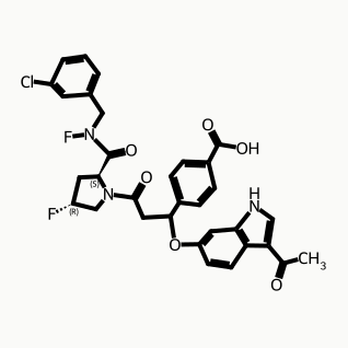 CC(=O)c1c[nH]c2cc(OC(CC(=O)N3C[C@H](F)C[C@H]3C(=O)N(F)Cc3cccc(Cl)c3)c3ccc(C(=O)O)cc3)ccc12